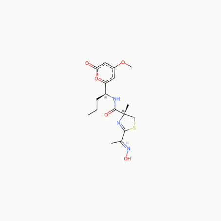 CCC[C@H](NC(=O)[C@]1(C)CSC(/C(C)=N/O)=N1)c1cc(OC)cc(=O)o1